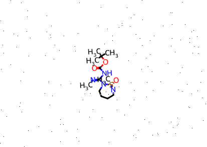 C/N=C(/NC(=O)OC(C)(C)C)N1CCCCN=S1(C)=O